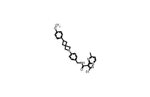 CCc1nn2ccc(C)nc2c1C(=O)NCc1ccc(N2CC3(CC(c4ccc(OC(F)(F)F)cc4)C3)C2)cc1